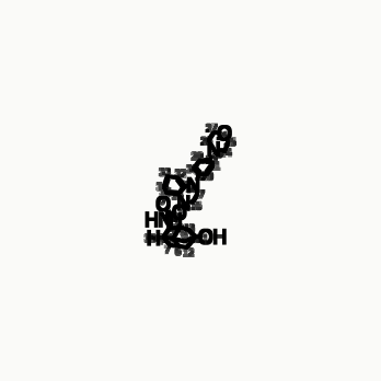 O=C(NC1[C@@H]2CC3C[C@H]1CC(O)(C3)C2)ON1CCN(c2ccc(N3CCOCC3)cc2)c2ccccc21